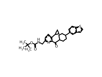 CC(C)(C)OC(=O)NCc1ccc(C2CC2)c(C(=O)C2CCC(c3ccc4sccc4c3)CC2)n1